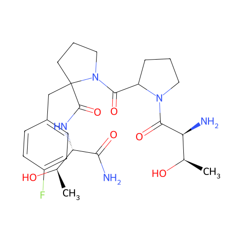 C[C@@H](O)[C@H](N)C(=O)N1CCCC1C(=O)N1CCCC1(Cc1ccc(F)cc1)C(=O)N[C@H](C(N)=O)[C@@H](C)O